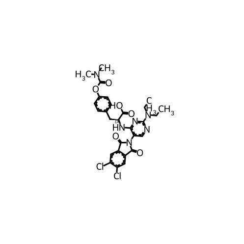 CCN(CC)c1ncc(N2C(=O)c3cc(Cl)c(Cl)cc3C2=O)c(N[C@@H](Cc2ccc(OC(=O)N(C)C)cc2)C(=O)O)n1